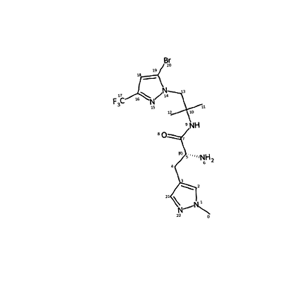 Cn1cc(C[C@@H](N)C(=O)NC(C)(C)Cn2nc(C(F)(F)F)cc2Br)cn1